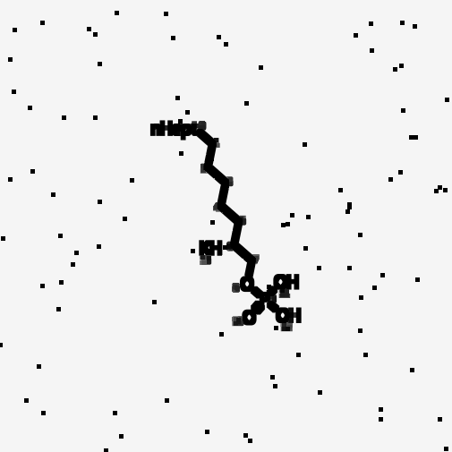 CCCCCCCCCCCCCCOP(=O)(O)O.[KH]